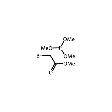 COC(=O)CBr.COP(OC)OC